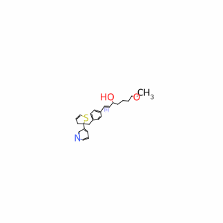 COCCCCC(O)/C=C/c1ccc(CC2(c3cccnc3)CC=CS2)cc1